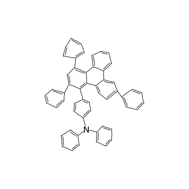 c1ccc(-c2ccc3c(c2)c2ccccc2c2c(-c4ccccc4)cc(-c4ccccc4)c(-c4ccc(N(c5ccccc5)c5ccccc5)cc4)c32)cc1